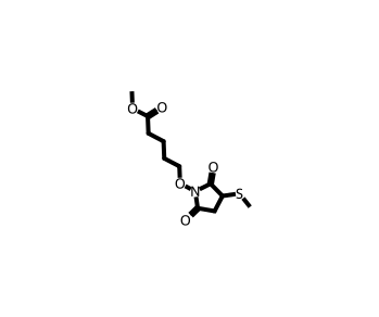 COC(=O)CCCCON1C(=O)CC(SC)C1=O